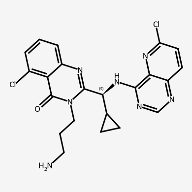 NCCCn1c([C@@H](Nc2ncnc3ccc(Cl)nc23)C2CC2)nc2cccc(Cl)c2c1=O